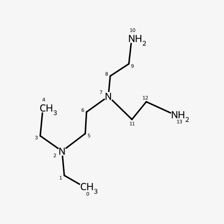 CCN(CC)CCN(CCN)CCN